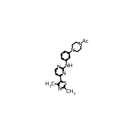 CC(=O)N1CCN(c2cccc(Nc3nccc(-c4sc(C)nc4C)n3)c2)CC1